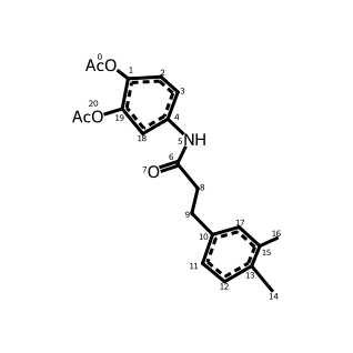 CC(=O)Oc1ccc(NC(=O)CCc2ccc(C)c(C)c2)cc1OC(C)=O